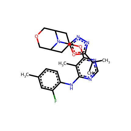 Cc1ccc(Nc2ncnc(OC3CC4COCC(C3)N4c3nnc(C(C)C)o3)c2C)c(F)c1